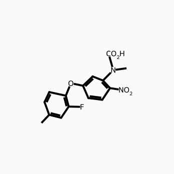 Cc1ccc(Oc2ccc([N+](=O)[O-])c(N(C)C(=O)O)c2)c(F)c1